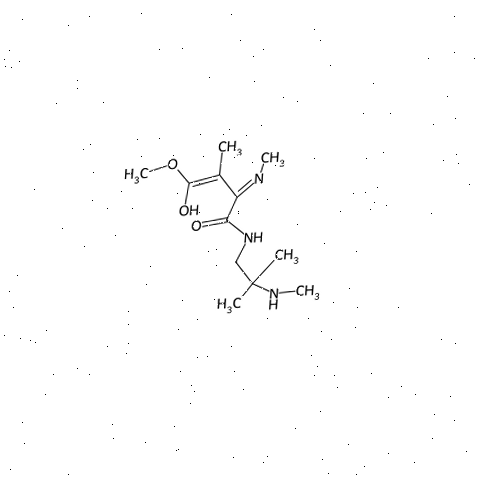 C/N=C(C(=O)NCC(C)(C)NC)\C(C)=C(/O)OC